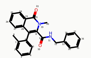 Cc1ccccc1-c1c(C(=O)NCc2ccccc2)n(C)c(=O)c2ccccc12